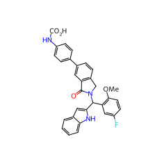 COc1ccc(F)cc1C(c1cc2ccccc2[nH]1)N1Cc2ccc(-c3ccc(NC(=O)O)cc3)cc2C1=O